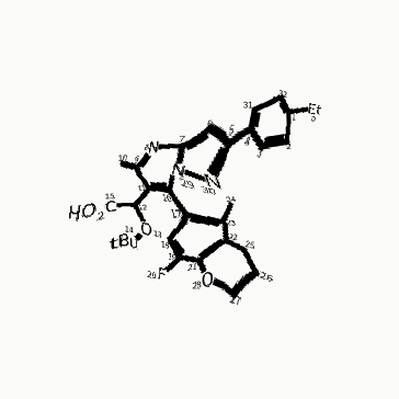 CCc1ccc(-c2cc3nc(C)c(C(OC(C)(C)C)C(=O)O)c(-c4cc(F)c5c(c4C)CCCO5)n3n2)cc1